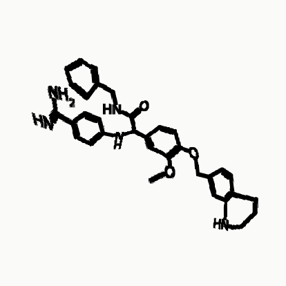 COc1cc(C(Nc2ccc(C(=N)N)cc2)C(=O)NCc2ccccc2)ccc1OCc1ccc2c(c1)NCCC2